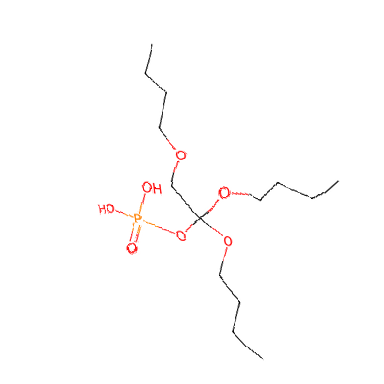 CCCCOCC(OCCCC)(OCCCC)OP(=O)(O)O